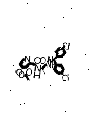 COc1ccnc(C(=O)N[C@@H](C)C(=O)NN=C(c2ccc(Cl)cc2)c2ccc(Cl)cc2)c1OC(C)=O